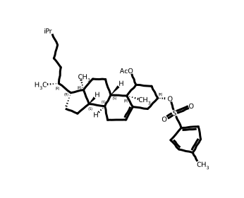 CC(=O)OC1C[C@H](OS(=O)(=O)c2ccc(C)cc2)CC2=CC[C@H]3[C@@H]4CC[C@H]([C@H](C)CCCC(C)C)[C@@]4(C)CC[C@@H]3[C@]21C